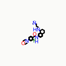 CN(C)CCCNC1CCCc2ccc(NC(=O)c3ccc(N4CCOCC4)cc3F)cc21